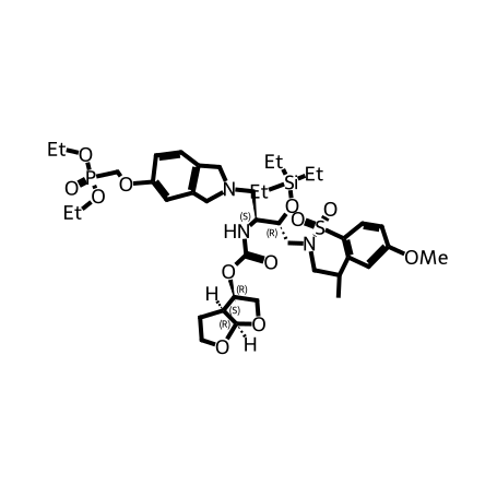 CCOP(=O)(COc1ccc2c(c1)CN(C[C@H](NC(=O)O[C@H]1CO[C@H]3OCC[C@H]31)[C@@H](CN1CC(C)c3cc(OC)ccc3S1(=O)=O)O[Si](CC)(CC)CC)C2)OCC